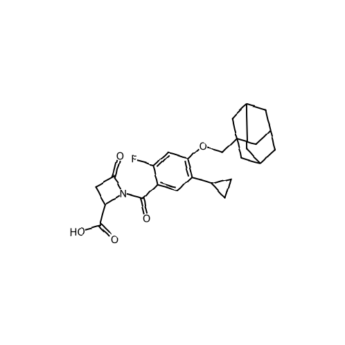 O=C(O)C1CC(=O)N1C(=O)c1cc(C2CC2)c(OCC23CC4CC(CC(C4)C2)C3)cc1F